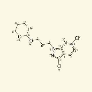 Clc1ncc2c(Cl)nn(CCCOC3CCCCO3)c2n1